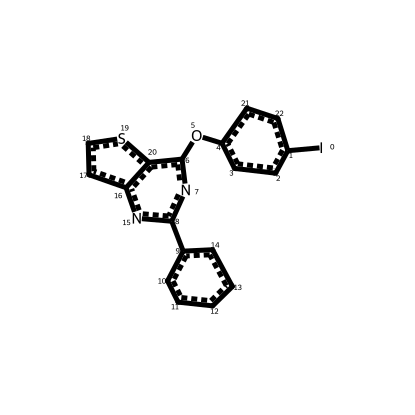 Ic1ccc(Oc2nc(-c3ccccc3)nc3ccsc23)cc1